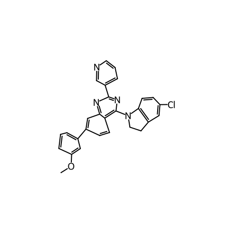 COc1cccc(-c2ccc3c(N4CCc5cc(Cl)ccc54)nc(-c4cccnc4)nc3c2)c1